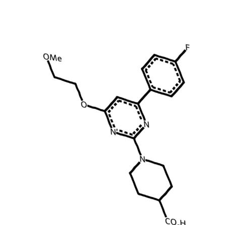 COCCOc1cc(-c2ccc(F)cc2)nc(N2CCC(C(=O)O)CC2)n1